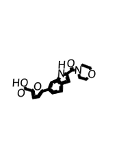 O=C(O)c1ccc(-c2ccc3cc(C(=O)N4CCOCC4)[nH]c3c2)o1